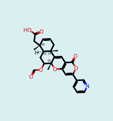 C[C@]12Oc3cc(-c4cccnc4)oc(=O)c3C=C1[C@@]1(C)CC=C[C@@](C)(CC(=O)O)[C@@H]1CC2OC=O